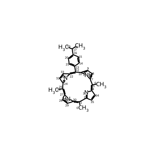 Cc1c2nc(c(C)c3ccc([nH]3)c(-c3ccc(C(C)C)cc3)c3nc(c(C)c4ccc1[nH]4)C=C3)C=C2